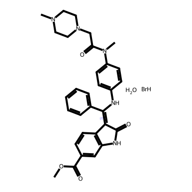 Br.COC(=O)c1ccc2c(c1)NC(=O)/C2=C(\Nc1ccc(N(C)C(=O)CN2CCN(C)CC2)cc1)c1ccccc1.O